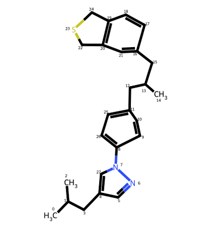 CC(C)Cc1cnn(-c2ccc(CC(C)Cc3ccc4c(c3)CSC4)cc2)c1